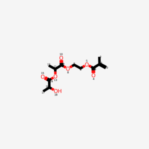 C=C(C)C(=O)OCCOC(=O)C(C)OC(=O)C(C)O